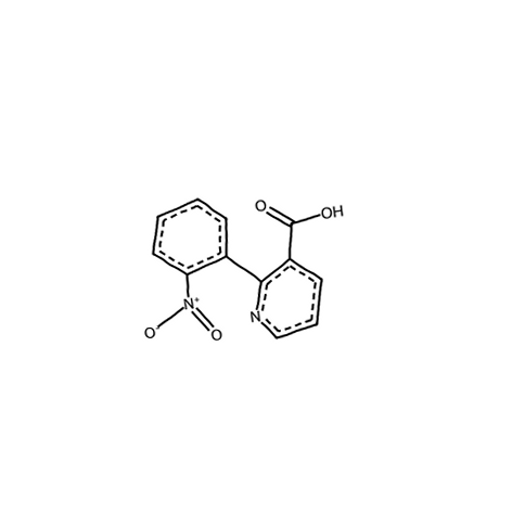 O=C(O)c1cccnc1-c1ccccc1[N+](=O)[O-]